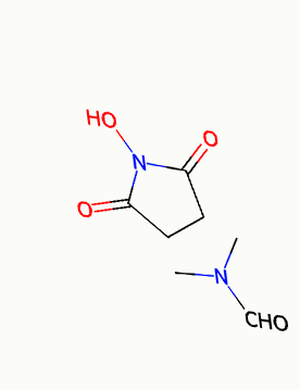 CN(C)C=O.O=C1CCC(=O)N1O